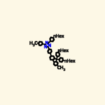 CCCCCCc1ccc(-c2nc(-c3ccc(C)cc3)nc(-c3ccc(-c4ccc5c(c4)C(c4ccc(CCCCCC)cc4)(c4ccc(CCCCCC)cc4)c4cc(C)ccc4-5)cc3)n2)cc1